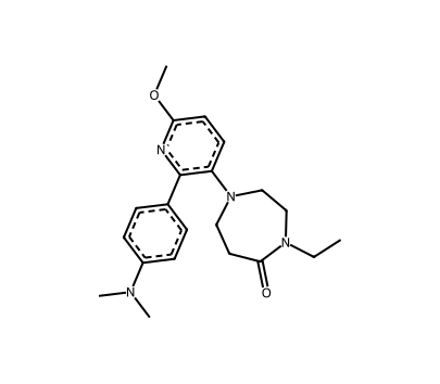 CCN1CCN(c2ccc(OC)nc2-c2ccc(N(C)C)cc2)CCC1=O